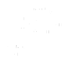 CCCCCOC(C)C(O)OP(=O)(O)OCC[N+](C)(C)C